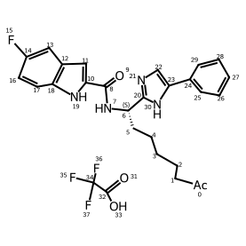 CC(=O)CCCCC[C@H](NC(=O)c1cc2cc(F)ccc2[nH]1)c1ncc(-c2ccccc2)[nH]1.O=C(O)C(F)(F)F